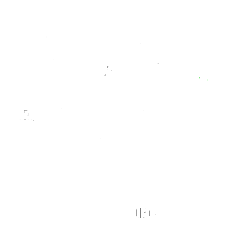 CC(C)(C)c1cc2c(cc1-c1ccccc1)Cc1c-2cc(C(C)(C)C)c(-c2ccccc2)[c]1[Zr](=[CH]c1cccc(Cl)c1)([C]1=CC=CC1)[c]1ccccc1